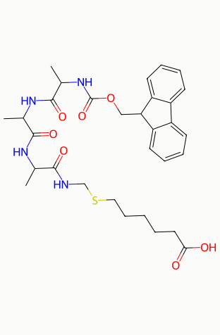 CC(NC(=O)OCC1c2ccccc2-c2ccccc21)C(=O)NC(C)C(=O)NC(C)C(=O)NCSCCCCCC(=O)O